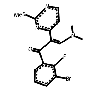 CSc1nccc(/C(=C\N(C)C)C(=O)c2cccc(Br)c2F)n1